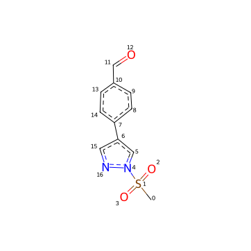 CS(=O)(=O)n1cc(-c2ccc(C=O)cc2)cn1